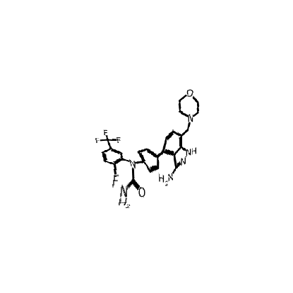 NC(=O)N(c1ccc(-c2ccc(CN3CCOCC3)c3[nH]nc(N)c23)cc1)c1cc(C(F)(F)F)ccc1F